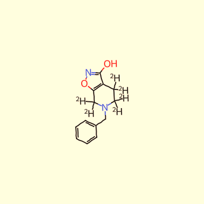 [2H]C1([2H])c2onc(O)c2C([2H])([2H])C([2H])([2H])N1Cc1ccccc1